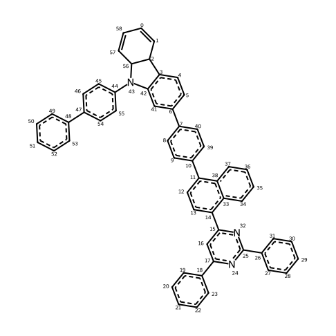 C1=CC2c3ccc(-c4ccc(-c5ccc(-c6cc(-c7ccccc7)nc(-c7ccccc7)n6)c6ccccc56)cc4)cc3N(c3ccc(-c4ccccc4)cc3)C2C=C1